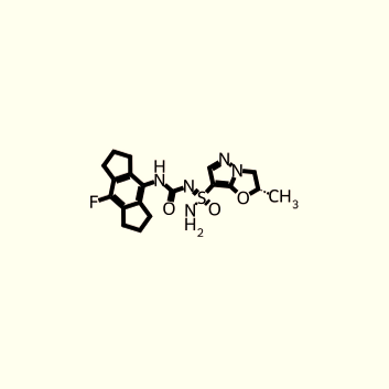 C[C@H]1Cn2ncc([S@@](N)(=O)=NC(=O)Nc3c4c(c(F)c5c3CCC5)CCC4)c2O1